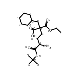 CCOC(=O)C(CCC(N)C(=O)OC(C)(C)C)(CC1CCCCC1)C(=O)O